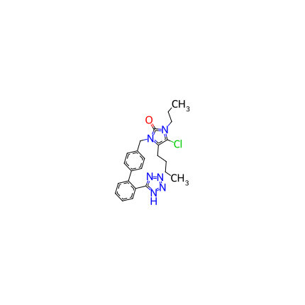 CCCCc1c(Cl)n(CCC)c(=O)n1Cc1ccc(-c2ccccc2-c2nnn[nH]2)cc1